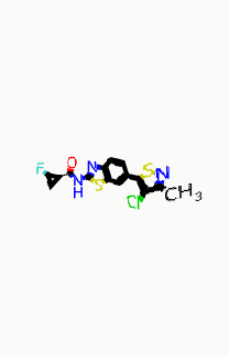 Cc1nsc(-c2ccc3nc(NC(=O)[C@@H]4CC4F)sc3c2)c1Cl